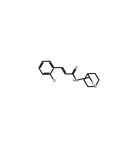 O=C(C=Cc1ccccc1Cl)NC1CN2CCC1CC2